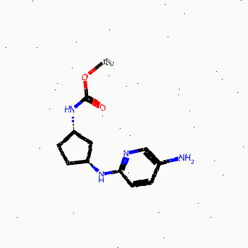 CC(C)(C)OC(=O)N[C@H]1CC[C@H](Nc2ccc(N)cn2)C1